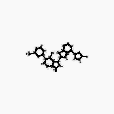 Cc1cn(-c2ccnc3[nH]c(-c4n[nH]c5cnc(-c6cncc(N)c6)c(F)c45)nc23)cn1